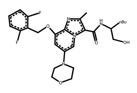 CCCCC(CO)NC(=O)c1c(C)nc2c(OCc3c(F)cccc3F)cc(N3CCOCC3)cn12